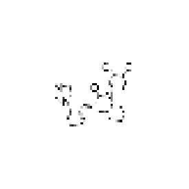 CN1CCN(c2ccccc2C=C2CC3CCCCC3N(c3ccc(Cl)c(Cl)c3)C2=O)CC1